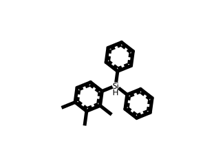 Cc1ccc([SiH](c2ccccc2)c2ccccc2)c(C)c1C